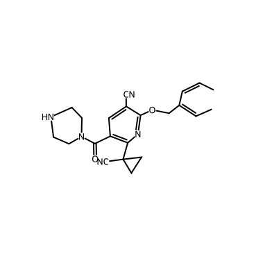 C/C=C\C(=C/C)COc1nc(C2(C#N)CC2)c(C(=O)N2CCNCC2)cc1C#N